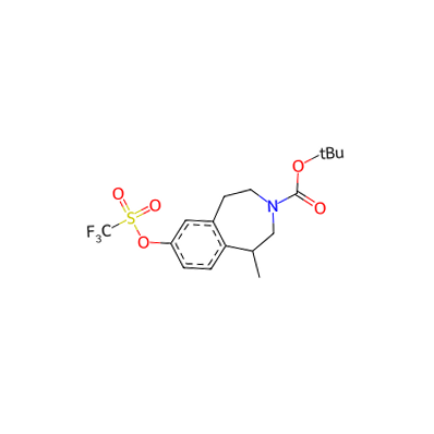 CC1CN(C(=O)OC(C)(C)C)CCc2cc(OS(=O)(=O)C(F)(F)F)ccc21